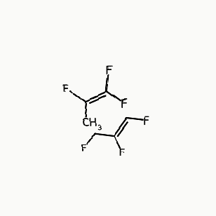 CC(F)=C(F)F.FC=C(F)CF